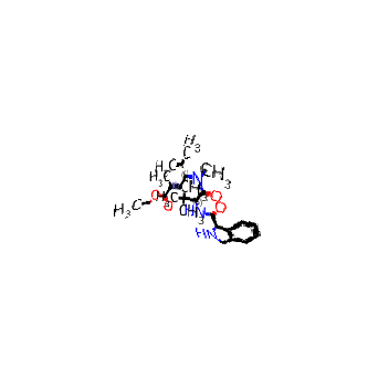 CCOC(=O)/C(C)=C/[C@H](C(C)C)N(C)C(=O)[C@@H](NC(=O)C1NCc2ccccc21)C(C)(C)C